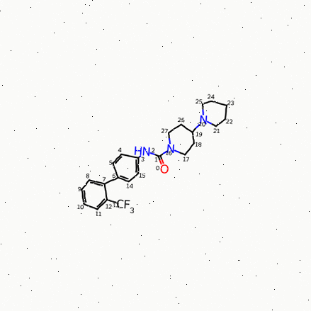 O=C(Nc1ccc(-c2ccccc2C(F)(F)F)cc1)N1CCC(N2CCCCC2)CC1